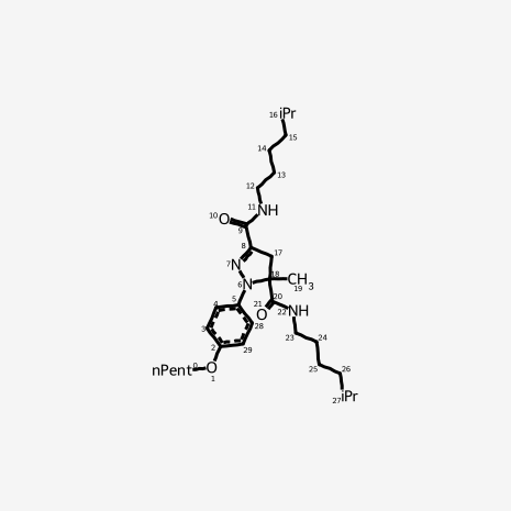 CCCCCOc1ccc(N2N=C(C(=O)NCCCCC(C)C)CC2(C)C(=O)NCCCCC(C)C)cc1